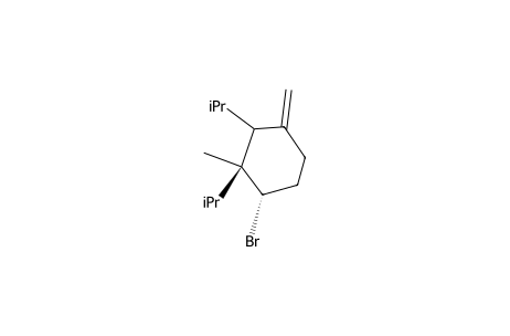 C=C1CC[C@H](Br)[C@@](C)(C(C)C)C1C(C)C